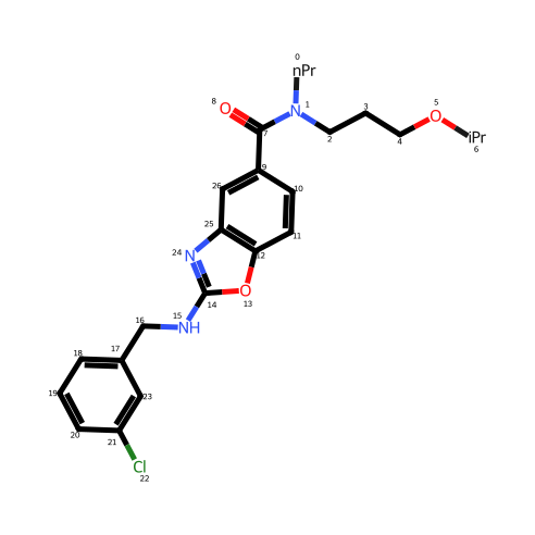 CCCN(CCCOC(C)C)C(=O)c1ccc2oc(NCc3cccc(Cl)c3)nc2c1